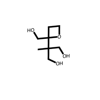 CC(CO)(CO)C1(CO)CCO1